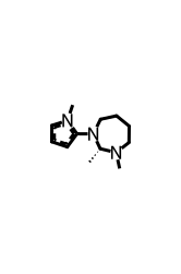 C[C@H]1N(C)CCCCN1c1cccn1C